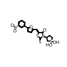 O=C1C(=Cc2ccc(-c3cccc([N+](=O)[O-])c3)o2)SC(=S)N1C1CCS(O)(O)C1